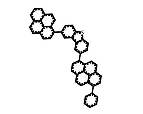 c1ccc(-c2ccc3ccc4c(-c5ccc6sc7ccc(-c8ccc9ccc%10cccc%11ccc8c9c%10%11)cc7c6c5)ccc5ccc2c3c54)cc1